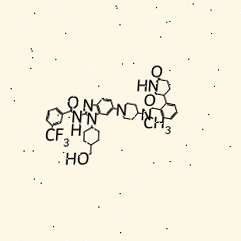 CN(Cc1ccccc1C1CCC(=O)NC1=O)C1CCN(c2ccc3nc(NC(=O)c4cccc(C(F)(F)F)c4)n(C4CCC(CO)CC4)c3c2)CC1